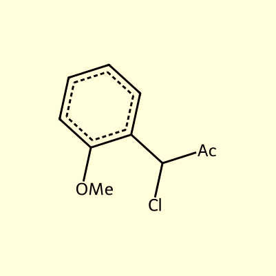 COc1ccccc1C(Cl)C(C)=O